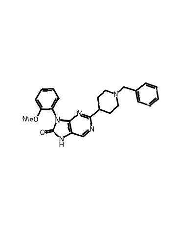 COc1ccccc1-n1c(=O)[nH]c2cnc(C3CCN(Cc4ccccc4)CC3)nc21